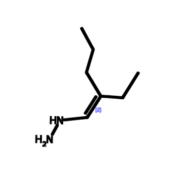 CCC/C(=C\NN)CC